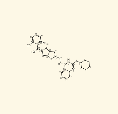 O=C(CC1CCCCC1)N[C@@H](CCN1CC2CN(C(=O)c3c(F)cccc3Cl)CC2C1)c1ccccc1